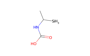 CC([SiH3])NC(=O)O